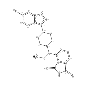 CCC(c1cccc2c1C(=O)NC2=O)N1CCC(c2noc3cc(F)ccc23)CC1